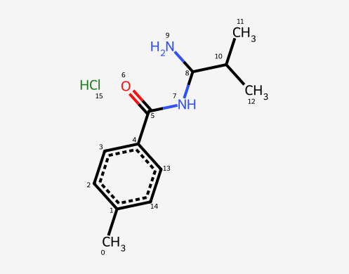 Cc1ccc(C(=O)NC(N)C(C)C)cc1.Cl